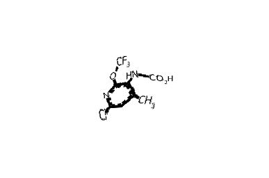 Cc1cc(Cl)nc(OC(F)(F)F)c1NC(=O)O